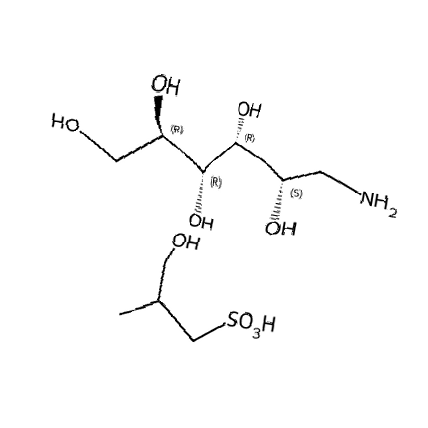 CC(O)CS(=O)(=O)O.NC[C@H](O)[C@@H](O)[C@H](O)[C@H](O)CO